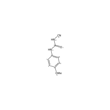 COc1ccc(NC(=O)NC#N)cc1